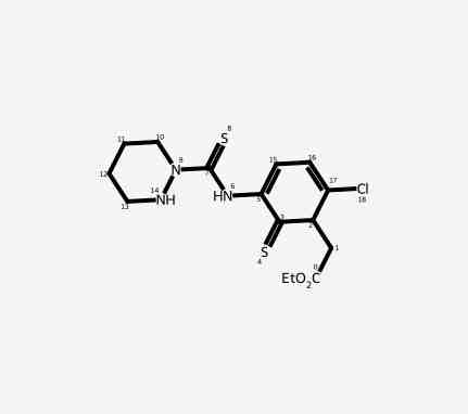 CCOC(=O)CC1C(=S)C(NC(=S)N2CCCCN2)=CC=C1Cl